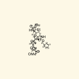 CCC(CC(NC(=O)OCc1ccccc1)c1nc(-c2nc(-c3nc(C(=O)OC)co3)co2)co1)CC(C)(C)NC(=O)OC(C)(C)C